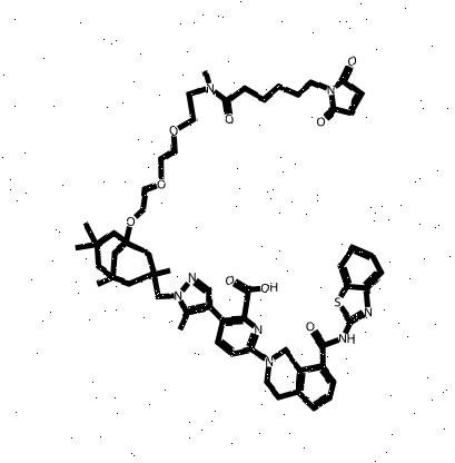 Cc1c(-c2ccc(N3CCc4cccc(C(=O)Nc5nc6ccccc6s5)c4C3)nc2C(=O)O)cnn1CC1(C)CC2(C)CC(C)(C)CC(OCCOCCOCCN(C)C(=O)CCCCCN3C(=O)C=CC3=O)(C1)C2